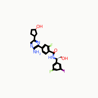 Nc1ncc(C2CC[C@H](O)C2)nc1-c1ccc(C(=O)N[C@H](CO)c2cc(F)cc(I)c2)c(F)c1